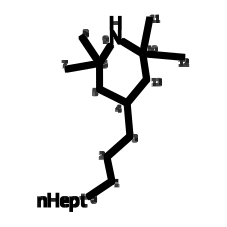 CCCCCCCCCCC1CC(C)(C)NC(C)(C)C1